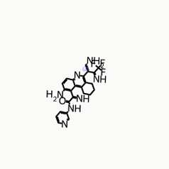 N=C(C(=O)Nc1cccnc1)c1c(N)ccc2nc(/C(=C/N)C(=N)C(F)(F)F)c3c(c12)CCCC3